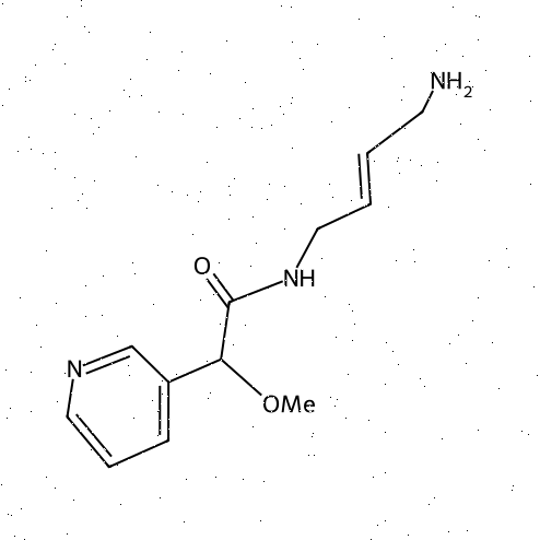 COC(C(=O)NCC=CCN)c1cccnc1